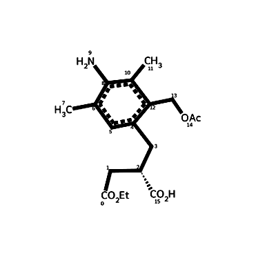 CCOC(=O)C[C@H](Cc1cc(C)c(N)c(C)c1COC(C)=O)C(=O)O